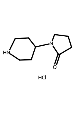 Cl.O=C1CCCN1C1CCNCC1